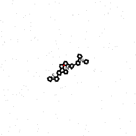 c1ccc(-n2c3ccccc3c3cc(-c4ccc5c(c4)c4ccccc4n5-c4cccc5c6cc(-c7cccc8c7sc7ccccc78)ccc6c6ccccc6c45)ccc32)cc1